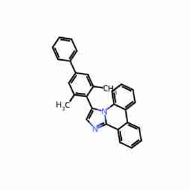 Cc1cc(-c2ccccc2)cc(C)c1-c1cnc2c3ccccc3c3ccccc3n12